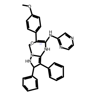 COc1ccc(/C(C)=C(/NC2=C(c3ccccc3)C(c3ccccc3)NN2C=O)Nc2cnccn2)cc1